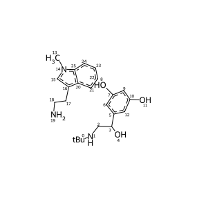 CC(C)(C)NCC(O)c1cc(O)cc(O)c1.Cn1cc(CCN)c2ccccc21